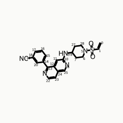 C=CS(=O)(=O)N1CCC(Nc2cc3c(-c4cccc(C#N)c4)nccc3cn2)CC1